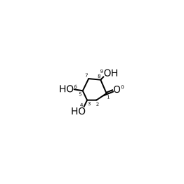 O=C1CC(O)C(O)CC1O